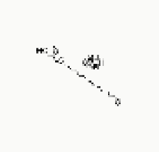 COCCCCCCCCCCCCCCSCC(CO)OC.O=P(O)(O)O